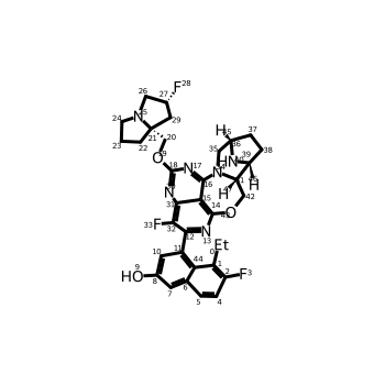 CCc1c(F)ccc2cc(O)cc(-c3nc4c5c(nc(OC[C@]67CCCN6C[C@H](F)C7)nc5c3F)N3C[C@@H]5CC[C@@H](N5)[C@@H]3CO4)c12